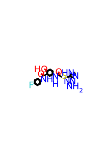 Nc1nc(SCC(=O)Nc2ccc(O)c(C(=O)Nc3ccc(F)cc3)c2)c2[nH]cnc2n1